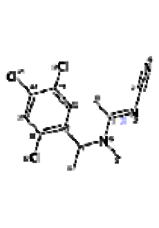 C/C(=N\C#N)N(C)C(C)c1cc(Cl)c(Cl)cc1Cl